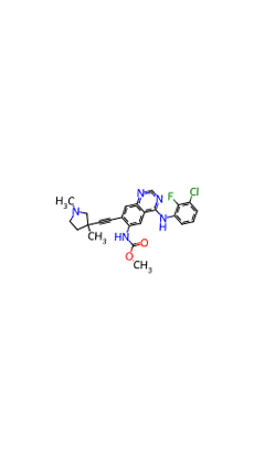 COC(=O)Nc1cc2c(Nc3cccc(Cl)c3F)ncnc2cc1C#CC1(C)CCN(C)C1